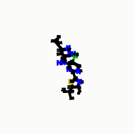 Cc1nc(-c2ncc(Cl)c(Nc3cc(C4CC4)n[nH]3)n2)sc1C(C)C